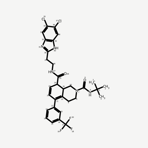 CC(C)(C)NC(=O)N1CCC2=C(c3cccc(C(F)(F)F)c3)C=CC(C(=O)NCCc3nc4cc(Cl)c(Cl)cc4[nH]3)C2C1